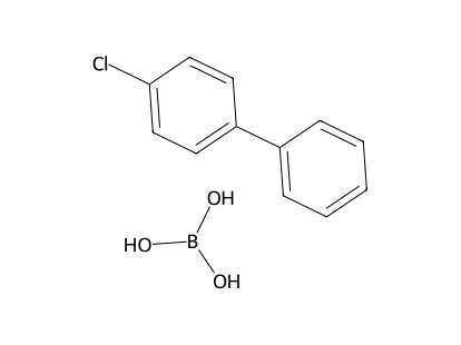 Clc1ccc(-c2ccccc2)cc1.OB(O)O